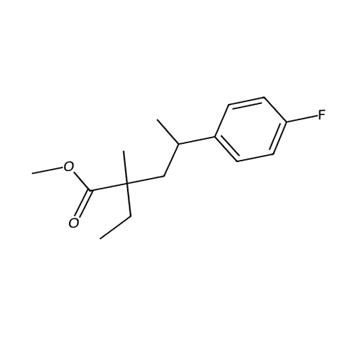 CCC(C)(CC(C)c1ccc(F)cc1)C(=O)OC